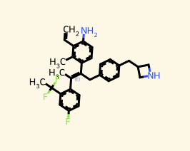 C=Cc1c(N)ccc(/C(Cc2ccc(CC3CNC3)cc2)=C(\C)c2ccc(F)cc2C(C)(F)F)c1C